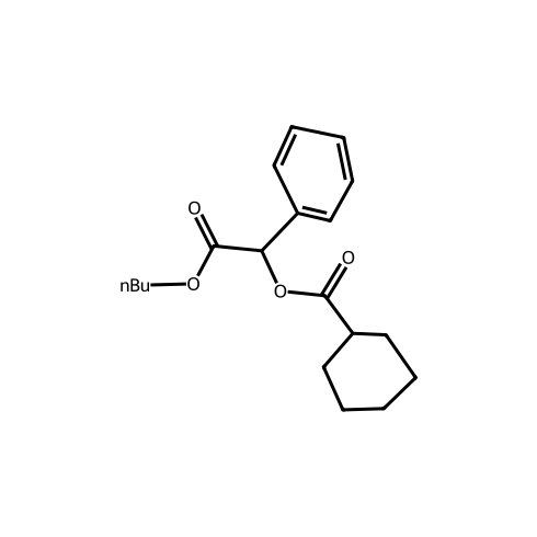 CCCCOC(=O)C(OC(=O)C1CCCCC1)c1ccccc1